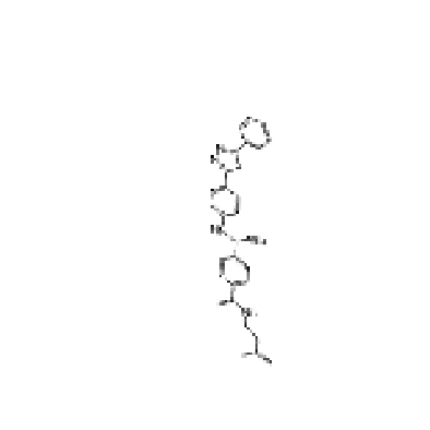 C=C(C)CCNC(=C)c1ccc(C(CCCC)Nc2ccc(C3=NN=C(c4ccccc4)C3)cc2)cc1